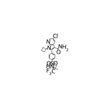 CC(C)(NS(=O)(=O)c1ccc(-c2c(C(N)=O)c3cc(Cl)cnc3n2C2CCC2)cc1)C(F)(F)F